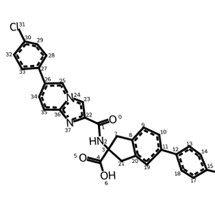 O=C(NC1(C(=O)O)Cc2ccc(-c3ccc(Cl)cc3)cc2C1)c1cn2cc(-c3ccc(Cl)cc3)ccc2n1